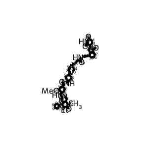 CC[C@@H]1C(=O)N(C)c2cnc(Nc3ccc(C(=O)NC4CCC(N5CCN(CCCC(=O)NC#Cc6cccc7c6CN(C6CCC(=O)NC6=O)C7=O)CC5)CC4)cc3OC)nc2N1C1CCCC1